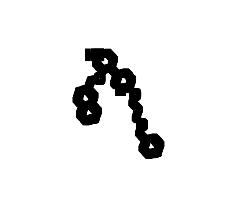 C1=C(C2CCNCC2OCc2ccc3ccccc3c2)CCC(OCCCOCc2ccccc2)=N1